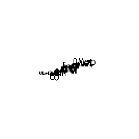 COC(=O)c1ccc(-c2ccc(Oc3ccnc4cc(OCCCN5CCOCC5)c(OC)cc34)c(F)c2)[nH]c1=O